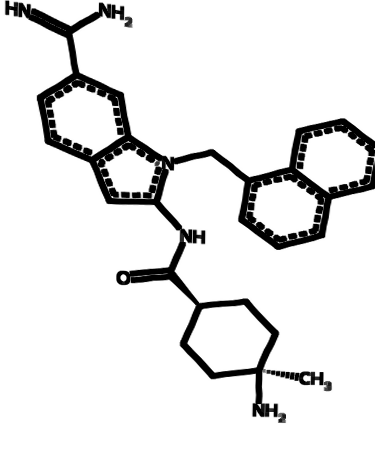 C[C@]1(N)CC[C@@H](C(=O)Nc2cc3ccc(C(=N)N)cc3n2Cc2cccc3ccccc23)CC1